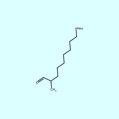 CCCCCCCCCCCCCC(C)C=S